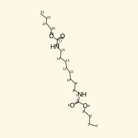 CCCCOC(=O)NCCCCCCCCNC(=O)OCCCC